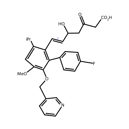 COc1cc(C(C)C)c(/C=C/C(O)CC(=O)CC(=O)O)c(-c2ccc(F)cc2)c1OCc1cccnc1